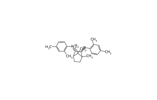 Cc1ccc(/N=C2/C(=N/c3ccc(C)cc3C)C3(C)CCC2C3(C)C)c(C)c1